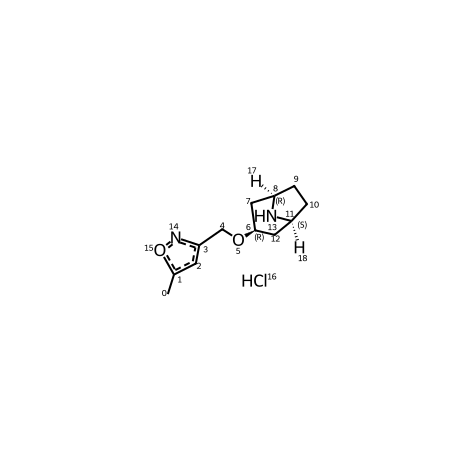 Cc1cc(CO[C@H]2C[C@H]3CC[C@@H](C2)N3)no1.Cl